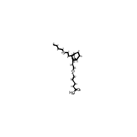 CCCCSCCC1C2CCC(O2)C1CCSCCCCC(=O)O